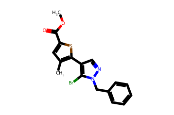 COC(=O)c1cc(C)c(-c2cnn(Cc3ccccc3)c2Br)s1